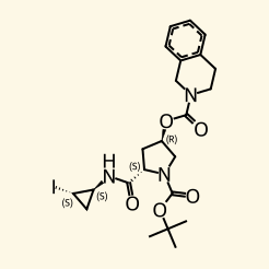 CC(C)(C)OC(=O)N1C[C@H](OC(=O)N2CCc3ccccc3C2)C[C@H]1C(=O)N[C@H]1C[C@@H]1I